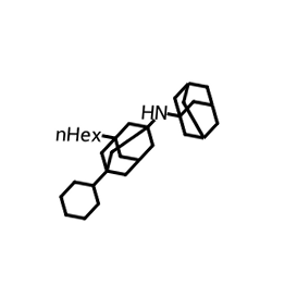 CCCCCCC12CC3CC(NC45CC6CC(CC(C6)C4)C5)(C1)CC(C1CCCCC1)(C3)C2